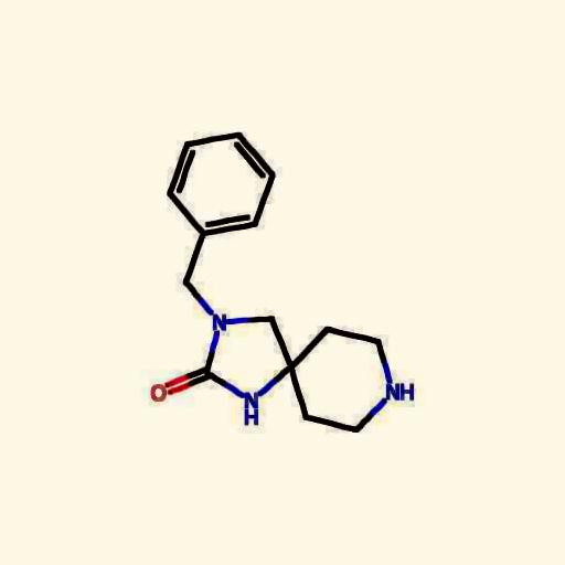 O=C1NC2(CCNCC2)CN1Cc1ccccc1